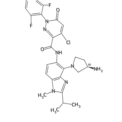 CC(C)c1nc2c(N3CC[C@@H](N)C3)c(NC(=O)c3nn(-c4c(F)cccc4F)c(=O)cc3Cl)ccc2n1C